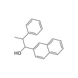 CC(c1ccccc1)C(O)c1ccc2ccccc2c1